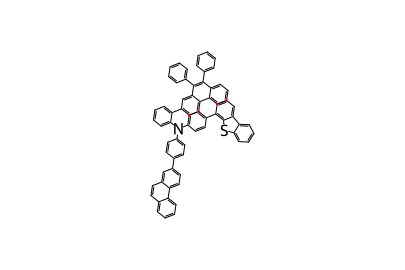 c1ccc(-c2c(-c3ccccc3)c3cc(-c4ccccc4N(c4ccc(-c5ccc6c(ccc7ccccc76)c5)cc4)c4ccc(-c5cccc6c5sc5ccccc56)cc4)ccc3c3ccccc23)cc1